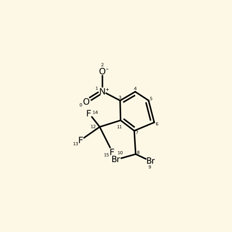 O=[N+]([O-])c1cccc(C(Br)Br)c1C(F)(F)F